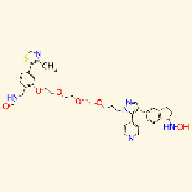 Cc1ncsc1-c1ccc(CNC=O)c(OCCOCCOCCOCCCn2ncc(-c3ccc4c(c3)CCC4NO)c2-c2ccncc2)c1